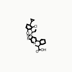 C=C[C@H](c1c(Cl)ccc(C2CC2)c1Cl)n1nnc2cnc(-c3ccccc3C(C)C(=O)O)cc21